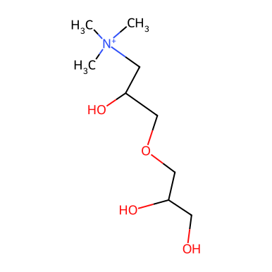 C[N+](C)(C)CC(O)COCC(O)CO